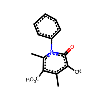 Cc1c(C(=O)O)c(C)n(-c2ccccc2)c(=O)c1C#N